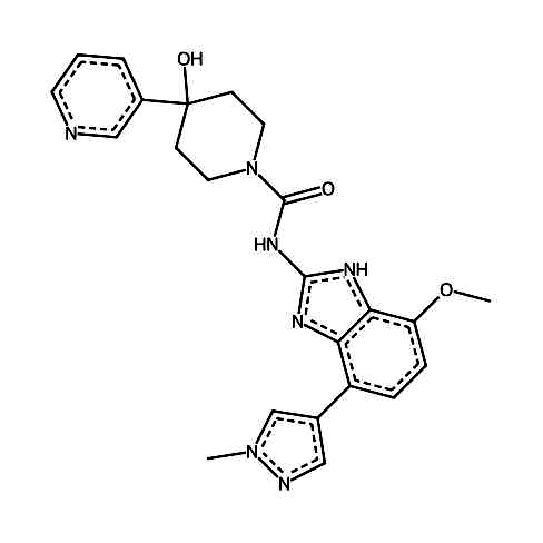 COc1ccc(-c2cnn(C)c2)c2nc(NC(=O)N3CCC(O)(c4cccnc4)CC3)[nH]c12